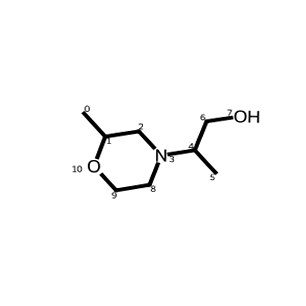 CC1CN(C(C)CO)CCO1